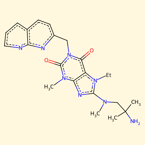 CCn1c(N(C)CC(C)(C)N)nc2c1c(=O)n(Cc1ccc3cccnc3n1)c(=O)n2C